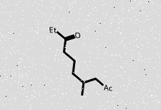 CCC(=O)CCCC(C)CC(C)=O